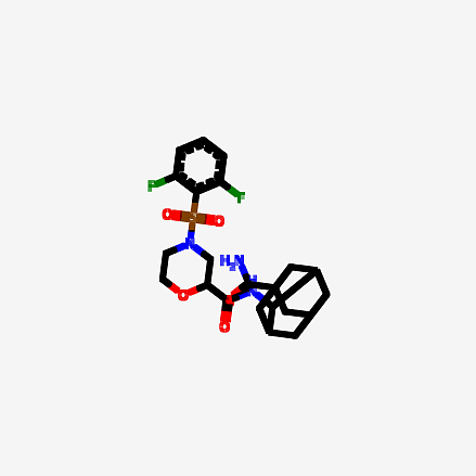 NC(=O)C12CC3CC(C1)C(NC(=O)C1CN(S(=O)(=O)c4c(F)cccc4F)CCO1)C(C3)C2